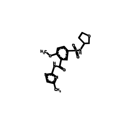 COc1ccc(S(=O)(=O)NC2CCOC2)cc1C(=O)Nc1nc(C)cs1